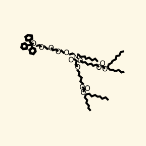 CCCCCCCCC(CCCCCC)OC(=O)OCCCCCCOCC(OCCCCCCOC(=O)OC(CCCCCC)CCCCCCCC)C(=O)N(CCCCCCCC)CCOCCOCCOCCOCCOC(c1ccccc1)(c1ccccc1)c1ccccc1